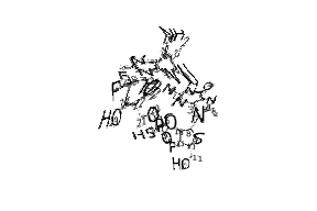 Nc1nc2c(ncn2[C@@H]2S[C@H](CO)[C@H](F)[C@H]2OP(=O)(S)OC[C@H]2O[C@@H](n3cnc4c(N)ccnc43)C(F)(F)[C@@H]2O)c(=O)[nH]1